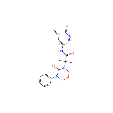 C=C/C=C(\C=N/C=C)NC(=O)C(C)(C)N1COCN(c2ccccc2)C1=O